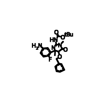 CN1C(=O)C(OCc2ccccc2)C(C)(c2cc(N)ccc2F)N=C1NC(=O)OC(C)(C)C